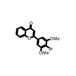 COc1cc(-c2cc(=O)c3ccccc3o2)cc(OC)c1Br